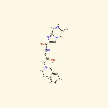 Cc1cn2cc(C(=O)NCC(O)CN3CCc4ccccc4C3)nc2cn1